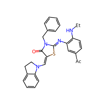 CCNc1ccc(C(C)=O)cc1N=C1SC(=CN2CCc3ccccc32)C(=O)N1Cc1ccccc1